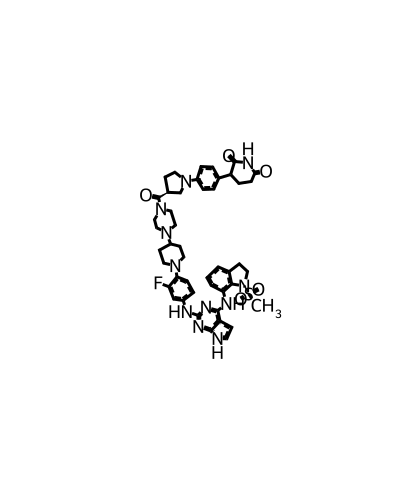 CS(=O)(=O)N1CCc2cccc(Nc3nc(Nc4ccc(N5CCC(N6CCN(C(=O)[C@H]7CCN(c8ccc(C9CCC(=O)NC9=O)cc8)C7)CC6)CC5)c(F)c4)nc4[nH]ccc34)c21